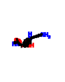 COC(=O)[C@@H](NC(=O)CC[C@@H](C)[C@H]1CC[C@H]2[C@@H]3[C@H](O)C[C@@H]4C[C@@H](NCCCCCCCCCCN)CC[C@]4(C)[C@H]3CC[C@]12C)C(C)C